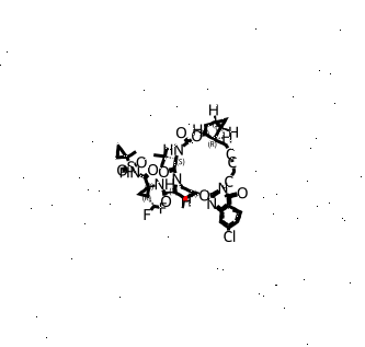 C[C@@H]1[C@@H]2CN(C(=O)[C@H](C(C)(C)C)NC(=O)O[C@@H]3C[C@@H]4C[C@@H]4[C@H]3CCCCCn3c(nc4cc(Cl)ccc4c3=O)O2)[C@@H]1C(=O)N[C@]1(C(=O)NS(=O)(=O)C2(C)CC2)C[C@H]1C(F)F